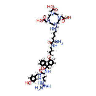 CC(C(=O)N[C@H](CCCNC(=N)N)C(=O)NCc1ccc(O)cc1)(c1ccccc1)c1cccc(OCCCCNC(=O)[C@H](N)CCCCNCN2CCN(CC(=O)O)CCN(CC(=O)O)CCN(CC(=O)O)CC2)c1